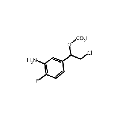 Nc1cc(C(CCl)OC(=O)O)ccc1F